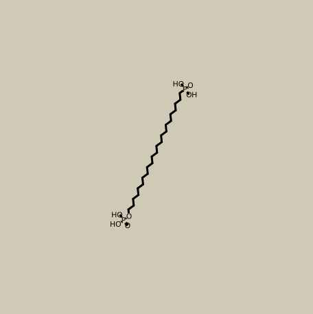 O=P(O)(O)CCCCCCCCCCCCCCCCCCCCCCCOP(=O)(O)O